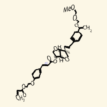 C=CC(=O)OCCOc1ccc(/C=C/C(=O)O[C@@H]2CO[C@H]3[C@@H]2OC[C@@H]3C=Cc2ccc(C(=C)OCOCOC)cc2)cc1